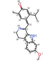 COc1ccc2c3c([nH]c2c1)C(/C=C1\C=C(C)C(=O)C=C1C(C)C)=NCC3